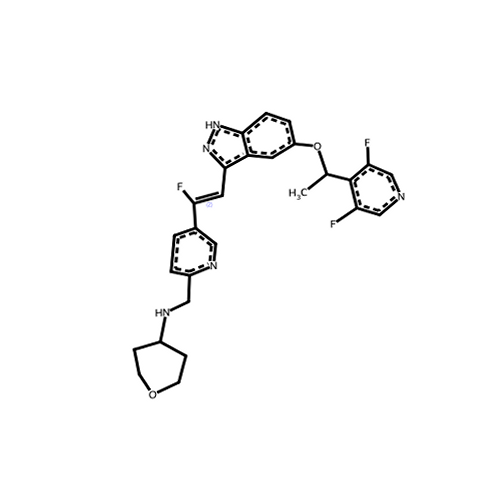 CC(Oc1ccc2[nH]nc(/C=C(\F)c3ccc(CNC4CCOCC4)nc3)c2c1)c1c(F)cncc1F